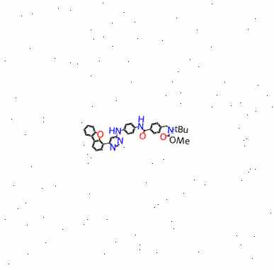 COC(=O)N(Cc1ccc(C(=O)Nc2ccc(Nc3cc(-c4cccc5c4oc4ccccc45)ncn3)cc2)cc1)C(C)(C)C